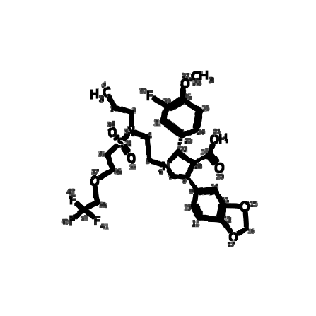 CCCN(CCN1C[C@H](c2ccc3c(c2)OCO3)[C@H](C(=O)O)[C@H]1c1ccc(OC)c(F)c1)S(=O)(=O)CCOCC(F)(F)F